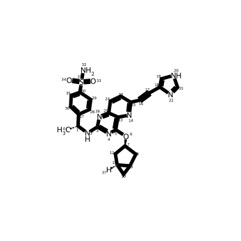 C[C@@H](Nc1nc(O[C@H]2CC3C[C@H]3C2)c2nc(C#Cc3c[nH]cn3)ccc2n1)c1ccc(S(N)(=O)=O)cc1